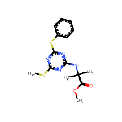 COC(=O)C(C)(C)Nc1nc(SC)nc(Sc2ccccc2)n1